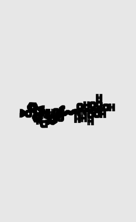 CCN(CCCCNC(=O)NCC(O)C(O)C(O)C(O)CO)S(=O)(=O)c1ccc(Cl)c(CNC2(c3cnccc3-c3ccccc3OC3CC3)CC2)c1